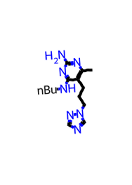 CCCCNc1nc(N)nc(C)c1CCCn1cncn1